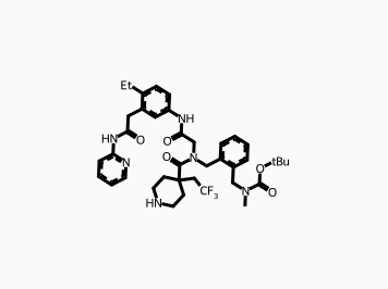 CCc1ccc(NC(=O)CN(Cc2ccccc2CN(C)C(=O)OC(C)(C)C)C(=O)C2(CC(F)(F)F)CCNCC2)cc1CC(=O)Nc1ccccn1